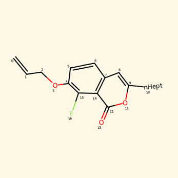 C=CCOc1ccc2cc(CCCCCCC)oc(=O)c2c1F